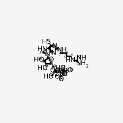 N=C(N)NCCCCNc1nc(S)c2c(n1)N(C1O[C@H](COP(=O)(O)OP(=O)(O)O[PH](=O)O)[C@H](O)C1O)CN2